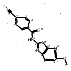 COc1ccc2nc(NC(=O)c3ccc(C#N)cc3)sc2n1